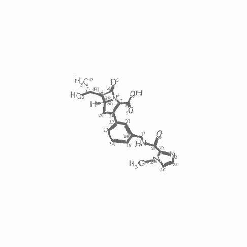 C[C@@H](O)[C@H]1C(=O)N2C(C(=O)O)=C(c3cccc(CNC(=O)c4nccn4C)c3)C[C@H]12